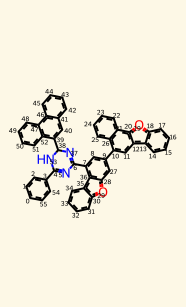 c1ccc(C2=NC(c3cc(-c4cc5c6ccccc6oc5c5ccccc45)cc4oc5ccccc5c34)=NC(c3cc4ccccc4c4ccccc34)N2)cc1